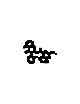 Cc1ccccc1-n1c(CNc2nc(N)nc3[nH]cnc23)nc2cccc(C)c2c1=O